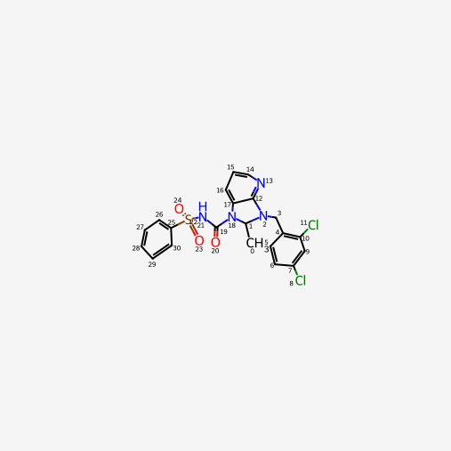 CC1N(Cc2ccc(Cl)cc2Cl)c2ncccc2N1C(=O)NS(=O)(=O)c1ccccc1